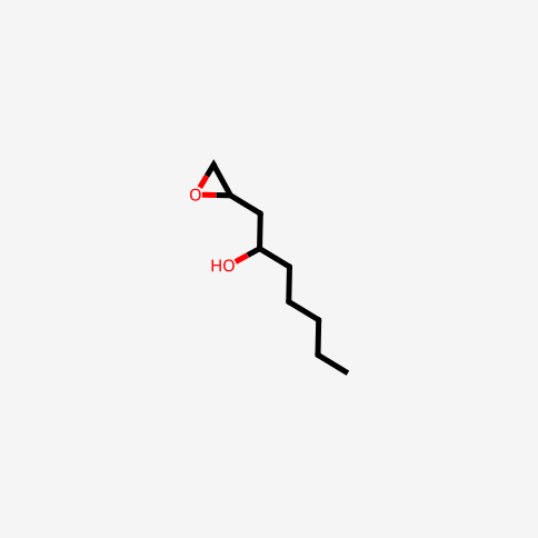 CCCCCC(O)CC1CO1